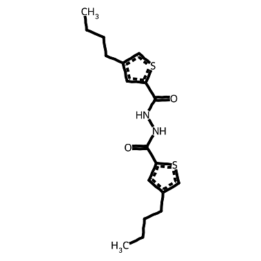 CCCCc1csc(C(=O)NNC(=O)c2cc(CCCC)cs2)c1